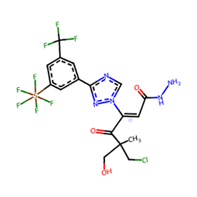 CC(CO)(CCl)C(=O)/C(=C/C(=O)NN)n1cnc(-c2cc(C(F)(F)F)cc(S(F)(F)(F)(F)F)c2)n1